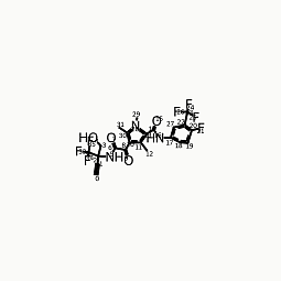 C#CC(CO)(NC(=O)C(=O)c1c(C)c(C(=O)Nc2ccc(F)c(C(F)(F)F)c2)n(C)c1C)C(F)(F)F